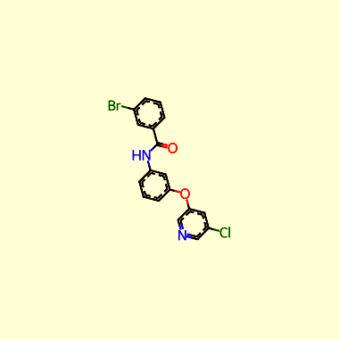 O=C(Nc1cccc(Oc2cncc(Cl)c2)c1)c1cccc(Br)c1